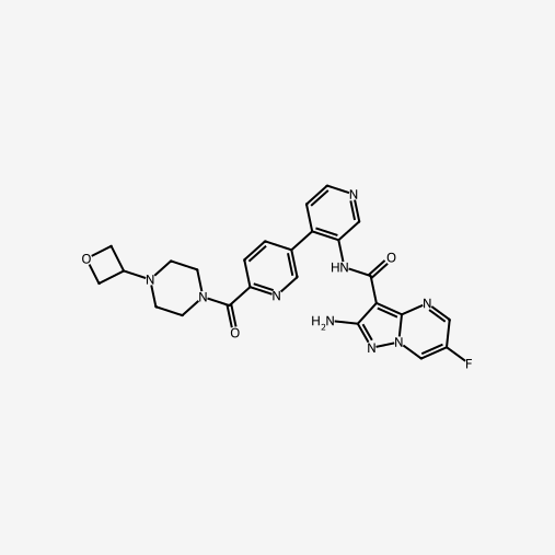 Nc1nn2cc(F)cnc2c1C(=O)Nc1cnccc1-c1ccc(C(=O)N2CCN(C3COC3)CC2)nc1